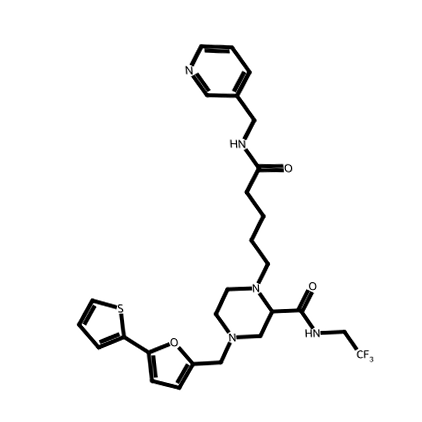 O=C(CCCCN1CCN(Cc2ccc(-c3cccs3)o2)CC1C(=O)NCC(F)(F)F)NCc1cccnc1